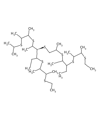 CCSC(C)C(C)SC(CC)C(C)SC(C)CS[C@H](C(C)SC(C)C(C)SC(C)C)C(CC)SC(C)C(C)SCC